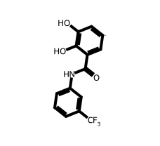 O=C(Nc1cccc(C(F)(F)F)c1)c1c[c]cc(O)c1O